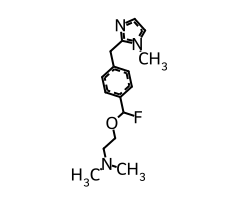 CN(C)CCOC(F)c1ccc(Cc2nccn2C)cc1